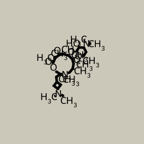 CCN(C)C1CC(C[C@]2(C)COC(=O)C(C)(C)C(=O)[C@H](C)[C@@H](O[C@@H]3O[C@H](C)C[C@H](N(C)C)[C@H]3O)[C@](C)(OC)C[C@@H](C)CN2C)C1